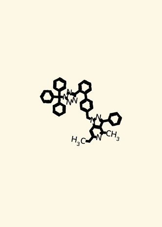 CCc1cc2c(c(C)n1)c(-c1ccccc1)nn2Cc1ccc(-c2ccccc2-c2nnn(C(c3ccccc3)(c3ccccc3)c3ccccc3)n2)cc1